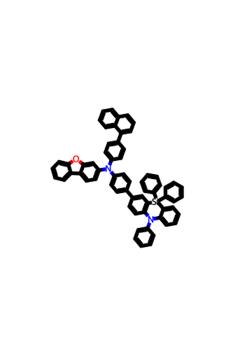 c1ccc(N2c3ccccc3[Si](c3ccccc3)(c3ccccc3)c3cc(-c4ccc(N(c5ccc(-c6cccc7ccccc67)cc5)c5ccc6c(c5)oc5ccccc56)cc4)ccc32)cc1